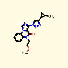 COCCn1c(=O)c2c(-n3cc(C4CC4C)nn3)ncn2c2ccccc21